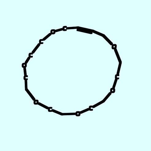 C1=CCOCCOCCOCCOCCOCCOC1